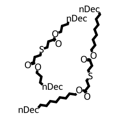 CCCCCCCCCCCCCCCCCCOC(=O)CCSCCC(=O)OCCCCCCCCCCCCCCCCCC.CCCCCCCCCCCCCOC(=O)CCSCCC(=O)OCCCCCCCCCCCCC